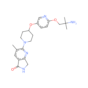 Cc1cc2c(nc1N1CCC(Oc3ccc(OCC(C)(C)N)nc3)CC1)CNC2=O